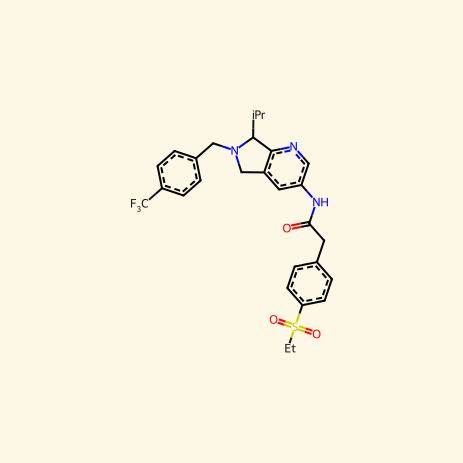 CCS(=O)(=O)c1ccc(CC(=O)Nc2cnc3c(c2)CN(Cc2ccc(C(F)(F)F)cc2)C3C(C)C)cc1